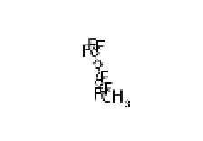 C/C(F)=C(\F)c1ccc(CCc2ccc(-c3cc(F)c(F)c(F)c3)cc2)c(F)c1